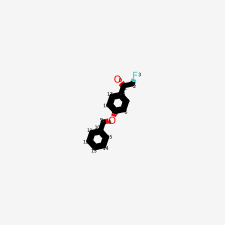 O=C(CF)c1ccc(OCc2ccccc2)cc1